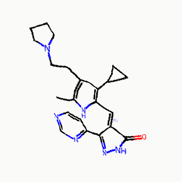 Cc1[nH]c(/C=C2/C(=O)NN=C2c2ccncn2)c(C2CC2)c1CCN1CCCC1